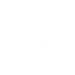 Cc1cc(O)nc(CC(=O)O)n1